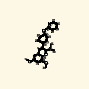 COc1cc(C=C(C(=O)N(C)C)c2ccc(Oc3ccccn3)cc2)cc(OC)c1